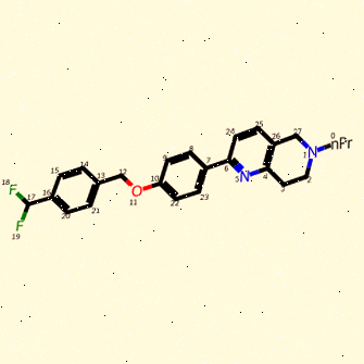 CCCN1CCc2nc(-c3ccc(OCc4ccc(C(F)F)cc4)cc3)ccc2C1